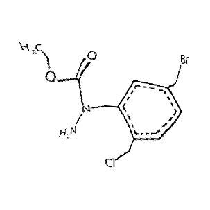 COC(=O)N(N)c1cc(Br)ccc1Cl